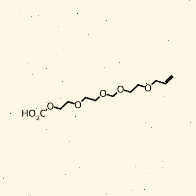 C=CCOCCOCOCCOCCOC(=O)O